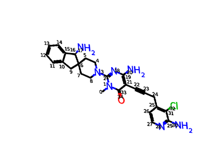 Cn1c(N2CCC3(CC2)Cc2ccccc2[C@H]3N)nc(N)c(C#CCc2ccnc(N)c2Cl)c1=O